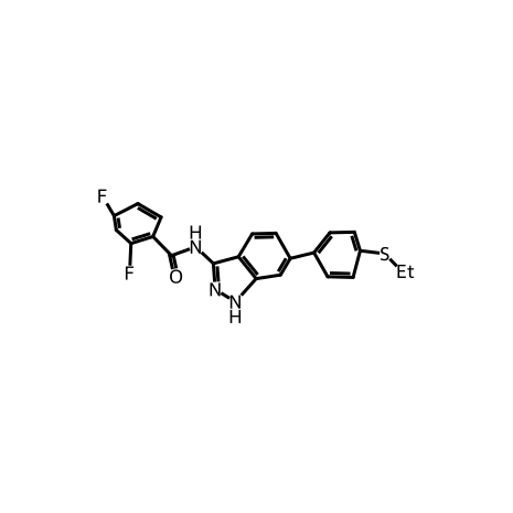 CCSc1ccc(-c2ccc3c(NC(=O)c4ccc(F)cc4F)n[nH]c3c2)cc1